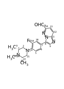 C[C@@H]1CN(c2ccc(-c3cnc4ccc(C=O)nn34)cc2F)C[C@H](C)N1C